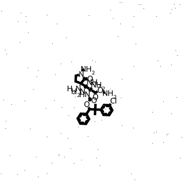 CC(C)(c1cccc(Cl)c1)C(OC(=O)NC(N)(C(=O)ON)C(N)(N)[C@@]1(N)CCN(N)C1=O)c1ccccc1